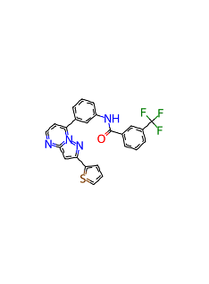 O=C(Nc1cccc(-c2ccnc3cc(-c4cccs4)nn23)c1)c1cccc(C(F)(F)F)c1